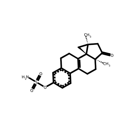 C[C@]12CC(=O)[C@@]3(C)CCC4=C(CCc5cc(OS(N)(=O)=O)ccc54)[C@]13C2